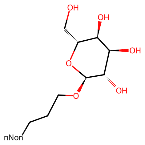 CCCCCCCCCCCCO[C@H]1O[C@H](CO)[C@@H](O)[C@@H](O)[C@@H]1O